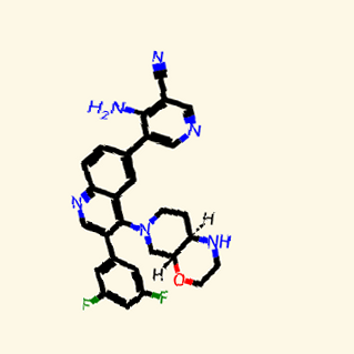 N#Cc1cncc(-c2ccc3ncc(-c4cc(F)cc(F)c4)c(N4CC[C@H]5NCCO[C@@H]5C4)c3c2)c1N